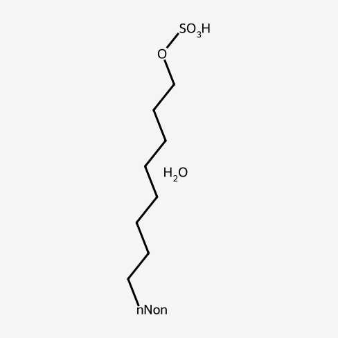 CCCCCCCCCCCCCCCCCOS(=O)(=O)O.O